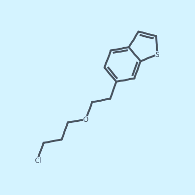 ClCCCOCCc1ccc2ccsc2c1